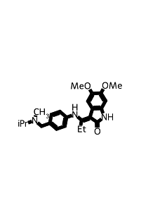 CCC(Nc1ccc(CN(C)C(C)C)cc1)=C1C(=O)Nc2cc(OC)c(OC)cc21